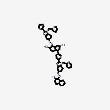 Oc1cc(-c2ccc(-c3nc4cc(/N=N/c5c(O)ccc6ccccc56)ccc4n3Cc3ccccn3)nc2)c2ccc(O)c(/N=N/c3ccc4c(c3)nc(-c3ccccn3)n4Cc3ccccn3)c2c1